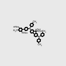 CCCCCCCCC1(CCCCCCCC)c2cc(N(c3ccc(C)cc3)c3ccc(-c4cc(CCCCCC)c(C)cc4CCCCCC)cc3)ccc2-c2ccc(N(c3ccc(C)cc3)c3cccc(C)c3)cc21